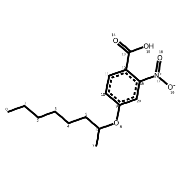 CCCCCCC(C)Oc1ccc(C(=O)O)c([N+](=O)[O-])c1